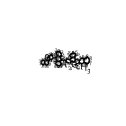 CC1(C)c2cc3ccccc3cc2-c2c1c1ccc(-c3c4ccccc4c(-c4ccc5oc6c7ccccc7ccc6c5c4)c4ccccc34)cc1c1ccccc21